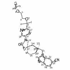 CC(C)(OCCOP(C)(C)=O)c1cnc(N2CC3(CCC[C@](C)(Cn4cnc5ccc(C#N)cc54)C3)OC2=O)cn1